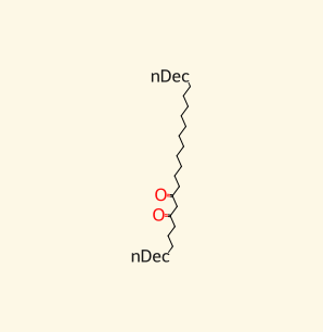 CCCCCCCCCCCCCCCCCCCCCC(=O)CC(=O)CCCCCCCCCCCCC